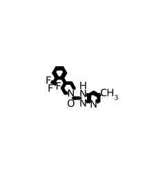 Cc1cnc2nc(C(=O)N3CCC(c4ccccc4C(F)(F)F)CC3)[nH]c2c1